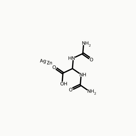 NC(=O)NC(NC(N)=O)C(=O)O.[Ag].[Zn]